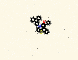 c1ccc(-c2ccc(N(c3ccc4c(c3)oc3ccccc34)c3cccc4sc5c6ccccc6ccc5c34)cc2-c2ccccc2)cc1